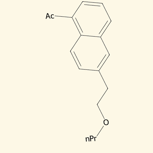 CCCOCCc1ccc2c(C(C)=O)cccc2c1